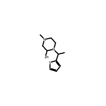 [CH2]C(c1cccs1)N1CCN(C)CC1C(C)C